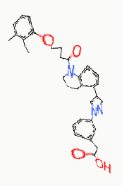 Cc1cccc(OCCCC(=O)N2CCCc3c(-c4cnn(-c5cccc(CC(=O)O)c5)c4)cccc32)c1C